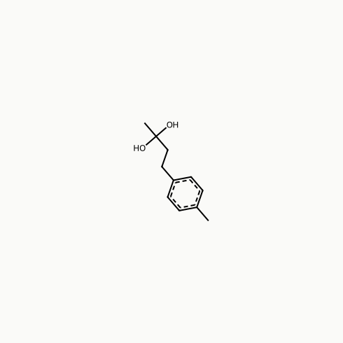 Cc1ccc(CCC(C)(O)O)cc1